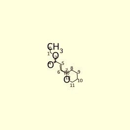 CCOC(=O)C=C[C@H]1CCCCO1